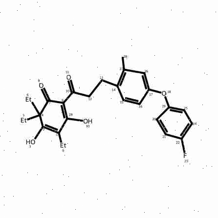 CCC1=C(O)C(CC)(CC)C(=O)C(C(=O)CCc2ccc(Oc3ccc(F)cc3)cc2C)=C1O